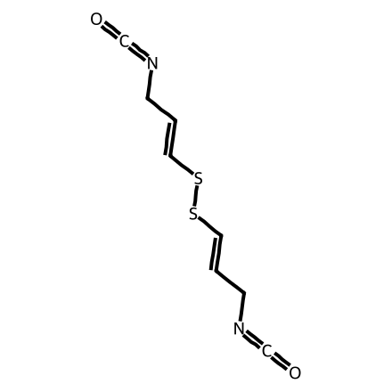 O=C=NCC=CSSC=CCN=C=O